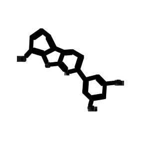 CC(C)(C)c1cc(-c2ccc3c(n2)oc2c(O)cccc23)cc(C(C)(C)C)c1